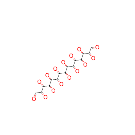 O=CC(=O)C(=O)C(=O)C(=O)C(=O)C(=O)C(=O)C(=O)C(=O)C(=O)C(=O)C(=O)C(=O)C=O